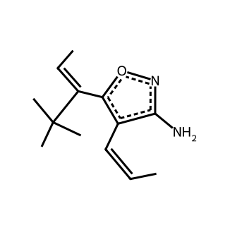 C/C=C\c1c(N)noc1/C(=C\C)C(C)(C)C